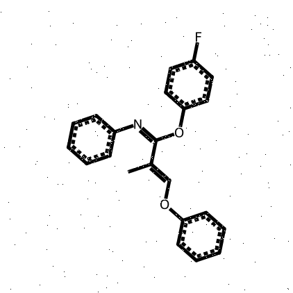 CC(=C\Oc1ccccc1)/C(=N\c1ccccc1)Oc1ccc(F)cc1